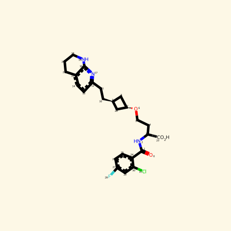 O=C(NC(CCO[C@H]1C[C@H](CCc2ccc3c(n2)NCCC3)C1)C(=O)O)c1ccc(F)cc1Cl